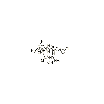 CC1(C)O[C@@H]2[C@@H](CF)C[C@@H](n3cnc4c(N[C@H]5CCN(c6cccc(Cl)c6)C5)ncnc43)[C@@H]2O1.Cl.N[C@H]1CCN(c2cccc(Cl)c2)C1